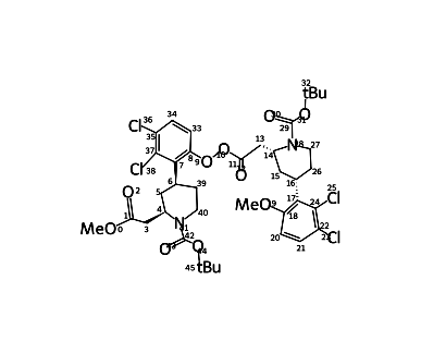 COC(=O)C[C@H]1C[C@@H](c2c(OOC(=O)C[C@H]3C[C@@H](c4c(OC)ccc(Cl)c4Cl)CCN3C(=O)OC(C)(C)C)ccc(Cl)c2Cl)CCN1C(=O)OC(C)(C)C